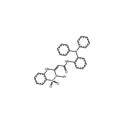 CCCN1/C(=C\C(=O)Nc2ccccc2N(c2ccccc2)c2ccccc2)Nc2ccccc2S1(=O)=O